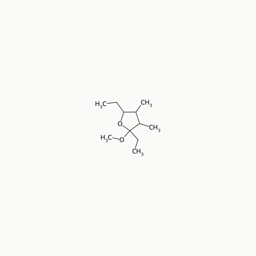 CCC1OC(CC)(OC)C(C)C1C